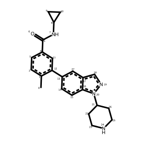 Cc1ccc(C(=O)NC2CC2)cc1-c1ccc2c(cnn2C2CCNCC2)c1